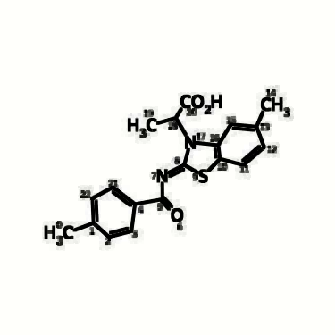 Cc1ccc(C(=O)N=c2sc3ccc(C)cc3n2C(C)C(=O)O)cc1